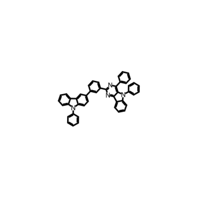 c1ccc(-c2nc(-c3cccc(-c4ccc5c(c4)c4ccccc4n5-c4ccccc4)c3)nc3c4ccccc4n(-c4ccccc4)c23)cc1